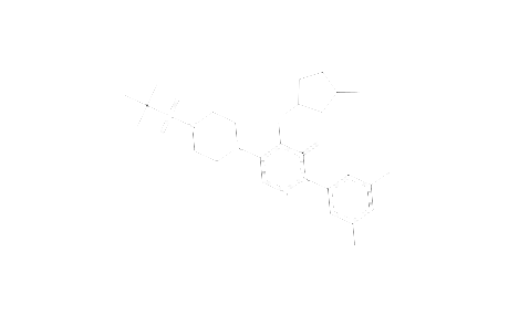 CC(C)(C)S(=O)(=O)N1CCN(c2cnn(-c3cc(F)cc(F)c3)c(=O)c2OC2CCC(F)C2)CC1